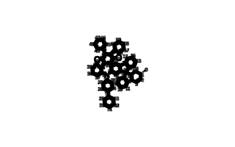 C[C@@H]1C=CC=C(C2(c3ccccc3)c3ccccc3-c3ccc(N(c4ccc(-c5ccccc5)cc4)c4cccc5oc6c(-c7ccccc7)c7c(cc6c45)oc4ccccc47)cc32)C1